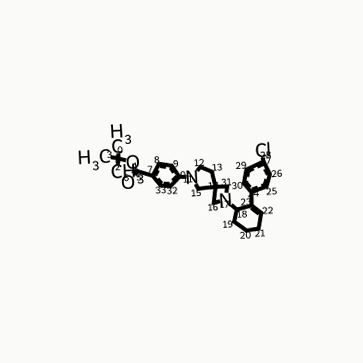 CC(C)(C)OC(=O)c1ccc(N2CCC3(C2)CN(C2CCCC=C2c2ccc(Cl)cc2)C3)cc1